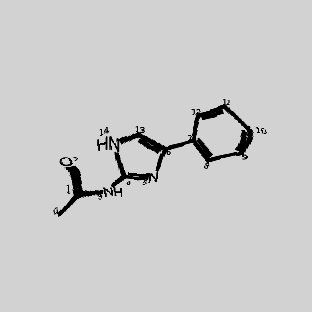 CC(=O)Nc1nc(-c2cc[c]cc2)c[nH]1